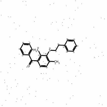 Cc1ccc(C(=O)c2ccccc2)c(C)c1SCCc1ccccc1